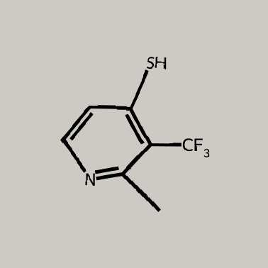 Cc1nccc(S)c1C(F)(F)F